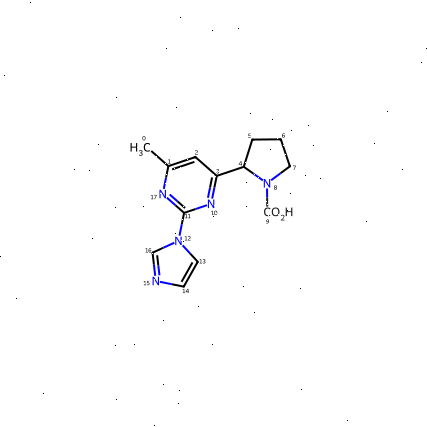 Cc1cc(C2CCCN2C(=O)O)nc(-n2ccnc2)n1